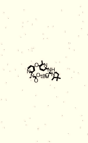 Cc1nc(NC(=O)N2CCC(C)(C)C2C)ccc1Oc1ccnc(N(C)C(=O)OC(C)(C)C)c1